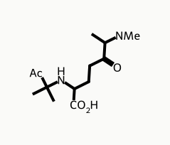 CNC(C)C(=O)CCC(NC(C)(C)C(C)=O)C(=O)O